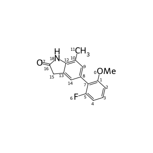 COc1cccc(F)c1-c1cc(C)c2c(c1)CC(=O)N2